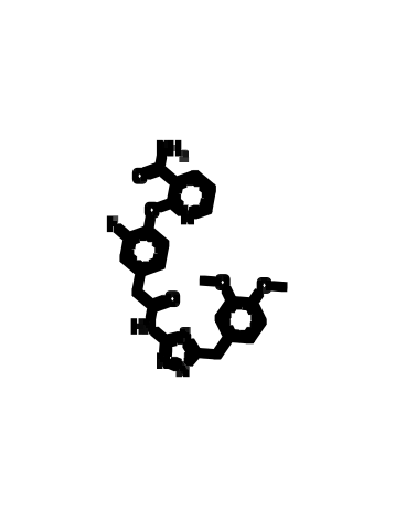 COc1ccc(Cc2nnc(NC(=O)Cc3ccc(Oc4ncccc4C(N)=O)c(F)c3)s2)cc1OC